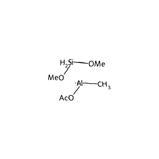 CO[SiH2]OC.[CH3][Al][O]C(C)=O